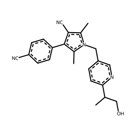 Cc1c(C#N)c(-c2ccc(C#N)cc2)c(C)n1Cc1ccc(C(C)CO)nc1